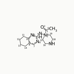 CC(=O)[N+]1(Nc2ncc3c(n2)CCCC3)CCNCC1